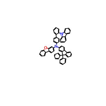 c1ccc(C2(c3ccccc3)c3ccccc3-c3ccc(N(c4ccc(-c5ccccc5-n5c6ccccc6c6ccccc65)cc4)c4ccc5c(c4)oc4ccccc45)cc32)cc1